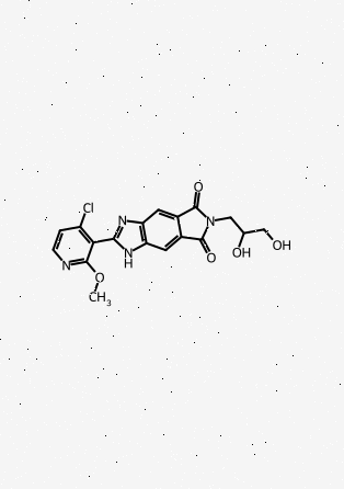 COc1nccc(Cl)c1-c1nc2cc3c(cc2[nH]1)C(=O)N(CC(O)CO)C3=O